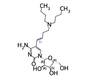 CCCCN(CC/C=C/c1cn([C@@H]2O[C@H](CO)[C@@H](O)[C@H]2O)c(=O)nc1N)CCCC